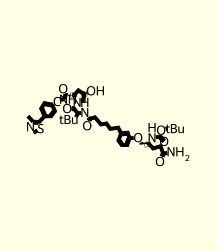 Cc1ncsc1-c1ccc(CNC(=O)[C@@H]2C[C@@H](O)CN2C(=O)C(NC(=O)CCCCCc2cccc(OC[C@H](CCC(N)=O)NC(=O)OC(C)(C)C)c2)C(C)(C)C)cc1